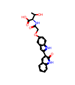 CC(O)[C@@H](NC(=O)COc1ccc2[nH]c(-c3cc4ccccc4[nH]c3=O)cc2c1)C(=O)O